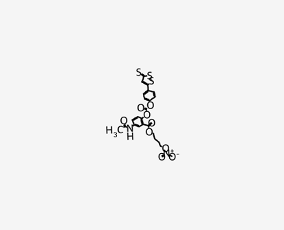 CC(=O)Nc1ccc(OC(=O)Oc2ccc(-c3cc(=S)ss3)cc2)c(C(=O)OCCCCO[N+](=O)[O-])c1